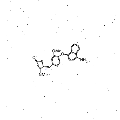 CNC1=NC(=O)S/C1=C\c1ccc(Oc2ccc(N)c3ccccc23)c(OC)c1